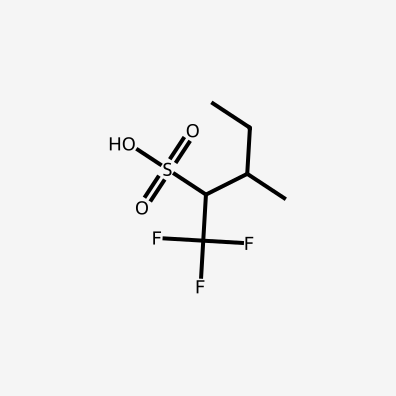 CCC(C)C(C(F)(F)F)S(=O)(=O)O